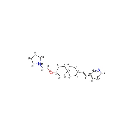 C(=CC1CCC2(CC1)CCC(OCCN1CCCC1)CC2)c1cccnc1